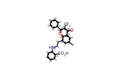 Cc1cc(CCNc2ccccc2C(=O)O)c2oc(-c3ccccc3)c(C(F)(F)F)c(=O)c2c1